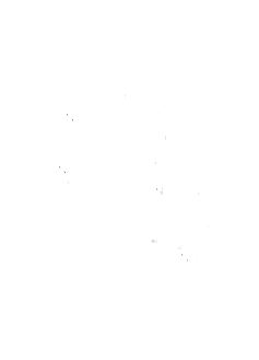 C[C@@H]1CN(c2cc(Cl)cc(N)c2C=N)CCN1